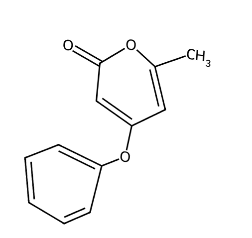 Cc1cc(Oc2ccccc2)cc(=O)o1